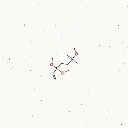 C=C[Si](CC[Si](C)(C)OC)(OC)OC